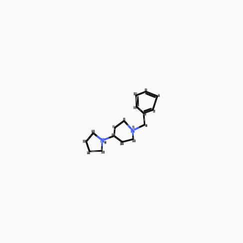 c1ccc(CN2CCC(N3CCCC3)CC2)cc1